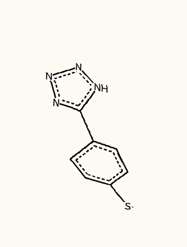 [S]c1ccc(-c2nnn[nH]2)cc1